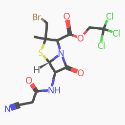 CC1(CBr)S[C@H]2C(NC(=O)CC#N)C(=O)N2C1C(=O)OCC(Cl)(Cl)Cl